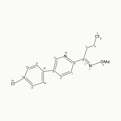 CO/N=C(\CCC(F)(F)F)c1ccc(-c2ccc(Cl)cc2)cn1